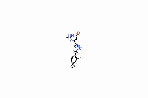 CCc1ccc(C(C)(C)n2cc(-c3cc(=O)[nH]c(C)n3)nn2)c(C)c1